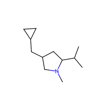 CC(C)C1CC(CC2CC2)CN1C